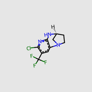 FC(F)(F)c1cc2c(nc1Cl)N[C@H]1CCN2C1